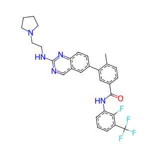 Cc1ccc(C(=O)Nc2cccc(C(F)(F)F)c2F)cc1-c1ccc2nc(NCCN3CCCC3)ncc2c1